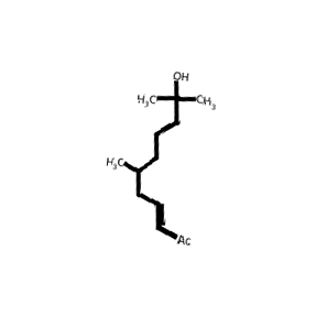 CC(=O)C=CCC(C)CCCC(C)(C)O